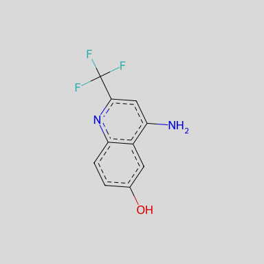 Nc1cc(C(F)(F)F)nc2ccc(O)cc12